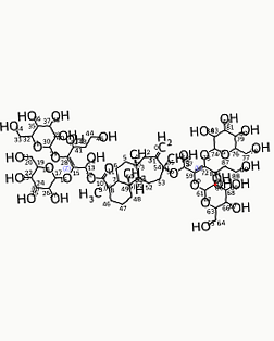 C=C1C[C@@]2(C)CCC3[C@](C)(C(=O)OC(O)/C(OC4OC(CO)C(O)[C@@H](O)C4O)=C(/OC4OC(CO)C(O)C(O)C4O)C(O)CCO)CCC[C@@]3(C)[C@@H]2CC[C@@]1(C)OC(O)/C(OC1OC(CO)C(O)C(O)C1O)=C(\OC1OC(CO)C(O)C(O)C1O)C(O)CCO